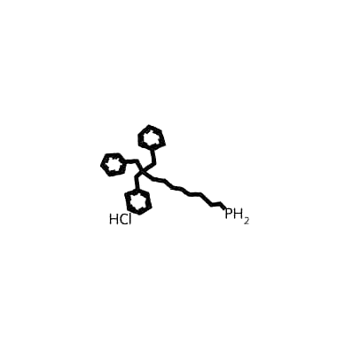 Cl.PCCCCCCCCC(Cc1ccccc1)(Cc1ccccc1)Cc1ccccc1